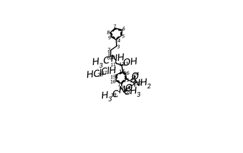 CC(CCc1ccccc1)NCC(O)c1ccc(N(C)C)c(S(N)(=O)=O)c1.Cl.Cl